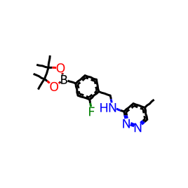 Cc1cnnc(NCc2ccc(B3OC(C)(C)C(C)(C)O3)cc2F)c1